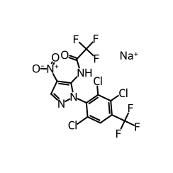 O=C(Nc1c([N+](=O)[O-])cnn1-c1c(Cl)cc(C(F)(F)F)c(Cl)c1Cl)C(F)(F)F.[Na+]